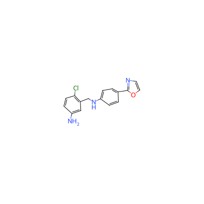 Nc1ccc(Cl)c(CNc2ccc(-c3ncco3)cc2)c1